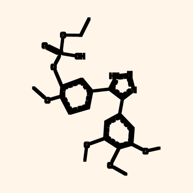 CCOP(=O)(O)Oc1cc(-c2[nH]nnc2-c2cc(OC)c(OC)c(OC)c2)ccc1OC